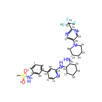 CS(=O)(=O)Nc1cccc(-c2ccnc(N[C@@H]3CCCC[C@H]3N[C@H]3CCCN(c4cnc(C(F)(F)F)nc4)C3)c2)c1